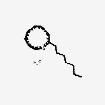 CCCCCCCc1cccccccs1.S